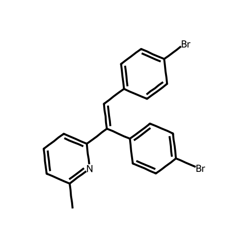 Cc1cccc(/C(=C/c2ccc(Br)cc2)c2ccc(Br)cc2)n1